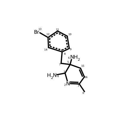 CC1=NC(N)C(N)(Cc2cccc(Br)c2)C=C1